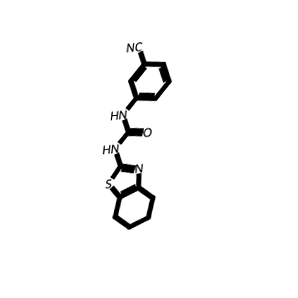 N#Cc1cccc(NC(=O)Nc2nc3c(s2)CCCC3)c1